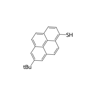 CC(C)(C)c1cc2ccc3ccc(S)c4ccc(c1)c2c34